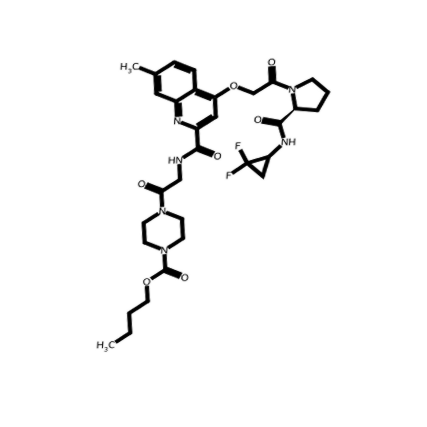 CCCCOC(=O)N1CCN(C(=O)CNC(=O)c2cc(OCC(=O)N3CCC[C@H]3C(=O)NC3CC3(F)F)c3ccc(C)cc3n2)CC1